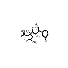 C=C(C)C[C@](C)(CC(=N)CC)/C(C)=C(C)/C(=C\C)c1cccc(CC)c1